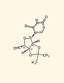 CC1(C)O[C@@H]2[C@H](O1)[C@@H](C=O)O[C@H]2n1ccc(=O)[nH]c1=O